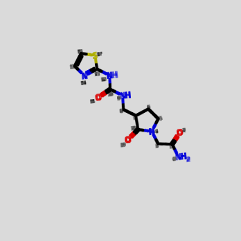 NC(=O)CN1CCC(CNC(=O)Nc2nccs2)C1=O